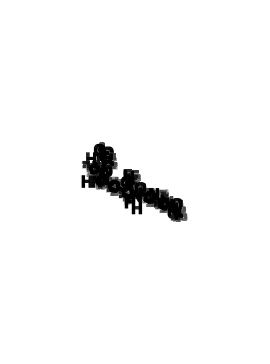 COC(=O)N[C@H](C(=O)N1C[C@@H](C)C[C@H]1c1nc(-c2ccc(-c3cc(F)c(NC(=O)c4ccc(N5CCN(C(=O)OC(C)(C)C)C[C@H]5C)nc4)cc3OC(F)(F)F)cc2)c[nH]1)C(C)C